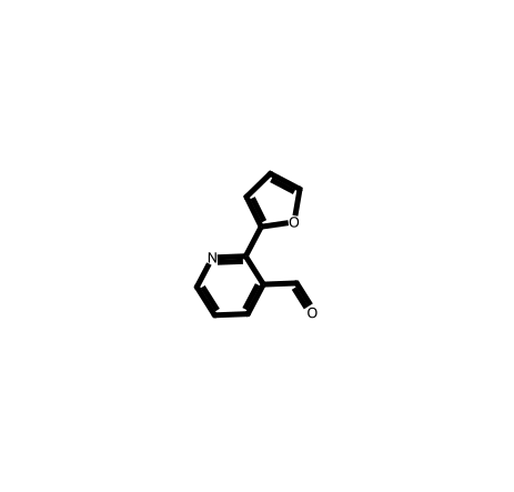 O=Cc1cccnc1-c1ccco1